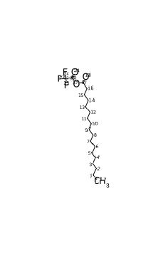 CCCCCCCCCCCCCCCCCC(=O)OC(=O)C(F)(F)F